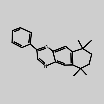 CC1(C)CCC(C)(C)c2cc3nc(-c4ccccc4)cnc3cc21